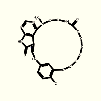 CN1CCNC(=O)CCCCCCOc2cc(ccc2Cl)N/C=C2\C(=O)Nc3ncnc1c32